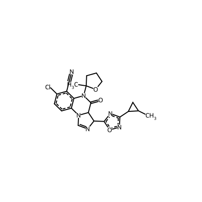 CC1CC1c1noc(C2N=CN3c4ccc(Cl)c(C#N)c4N(C4(C)CCCO4)C(=O)C23)n1